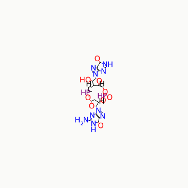 Nc1nc2c(ncn2[C@@H]2OC3C[C@H]2O[PH](=O)OC[C@H]2O[C@@H](n4cnc5c(=O)[nH]cnc54)[C@H](O)[C@@H]2CPO3)c(=O)[nH]1